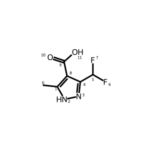 Cc1[nH]nc(C(F)F)c1C(=O)O